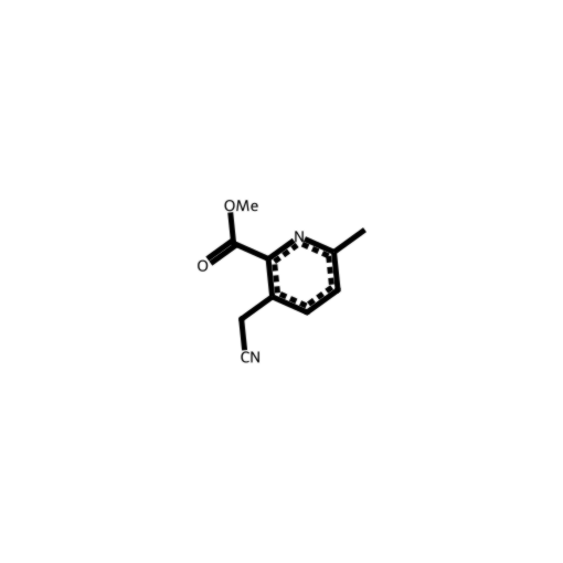 COC(=O)c1nc(C)ccc1CC#N